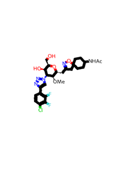 CO[C@@H]1[C@@H](n2cc(-c3ccc(Cl)c(F)c3F)nn2)[C@@H](O)[C@@H](CO)O[C@@H]1CC1=NOC2(CCC(NC(C)=O)CC2)C1